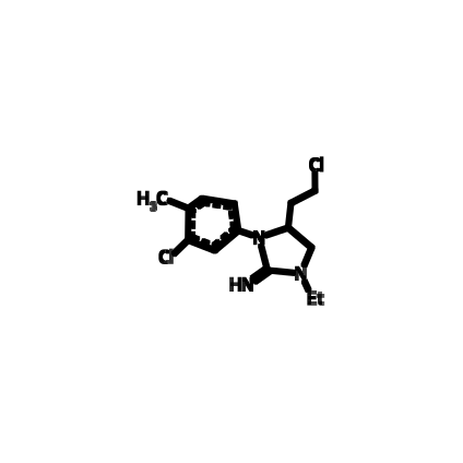 CCN1CC(CCCl)N(c2ccc(C)c(Cl)c2)C1=N